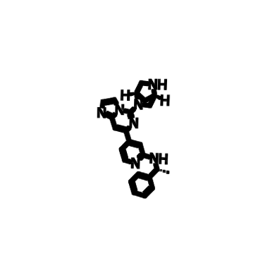 C[C@@H](Nc1cc(-c2cc3nccn3c(N3C[C@@H]4C[C@H]3CN4)n2)ccn1)c1ccccc1